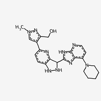 Cn1cc(-c2ccc3c(n2)C(c2nc4c(N5CCCCC5)ccnc4[nH]2)NN3)c(CO)n1